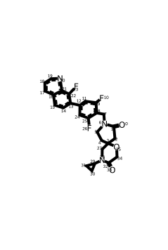 O=C1CC2(CCN1Cc1c(F)cc(-c3ccc4cccnc4c3F)cc1F)CN(C1CC1)C(=O)CO2